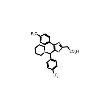 O=C(O)Cc1nc(-c2ccc(C(F)(F)F)cc2)c(C(c2ccc(C(F)(F)F)cc2)N2CCCCC2)s1